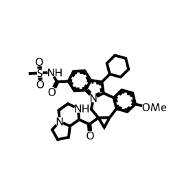 COc1ccc2c(c1)C1CC1(C(=O)C1NCCN3CCCC13)Cn1c-2c(C2CCCCC2)c2ccc(C(=O)NS(C)(=O)=O)cc21